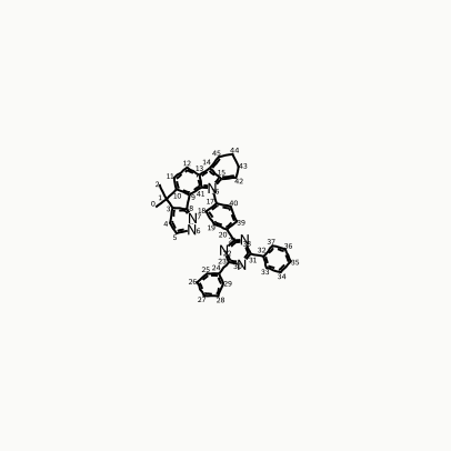 CC1(C)c2ccnnc2-c2c1ccc1c3c(n(-c4ccc(-c5nc(-c6ccccc6)nc(-c6ccccc6)n5)cc4)c21)=CCCC=3